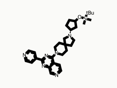 CC(C)(C)[Si](C)(C)OC1CC[C@@H](N2CCC3(CCN(c4nc(-c5ccncc5)nc5cnccc45)CC3)C2)C1